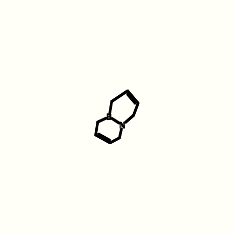 C1=CCN2CC=CCB2C1